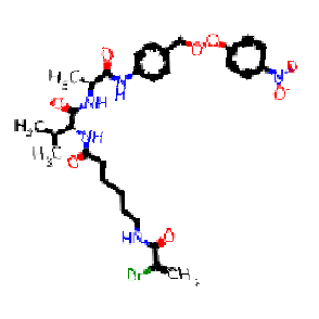 C=C(Br)C(=O)NCCCCCC(=O)N[C@H](C(=O)N[C@@H](C)C(=O)Nc1ccc(COOc2ccc([N+](=O)[O-])cc2)cc1)C(C)C